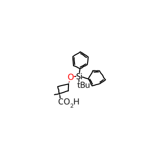 CC(C)(C)[Si](O[C@H]1C[C@](C)(C(=O)O)C1)(c1ccccc1)c1ccccc1